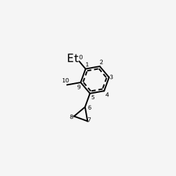 CCc1cccc(C2CC2)c1C